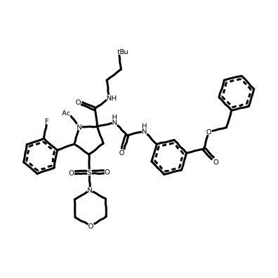 CC(=O)N1C(c2ccccc2F)C(S(=O)(=O)N2CCOCC2)CC1(NC(=O)Nc1cccc(C(=O)OCc2ccccc2)c1)C(=O)NCCC(C)(C)C